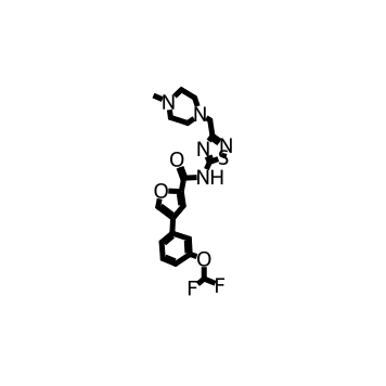 CN1CCN(Cc2nsc(NC(=O)c3cc(-c4cccc(OC(F)F)c4)co3)n2)CC1